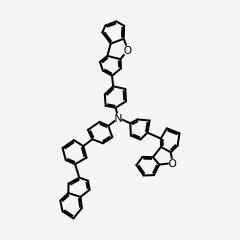 c1cc(-c2ccc(N(c3ccc(-c4ccc5c(c4)oc4ccccc45)cc3)c3ccc(-c4cccc5oc6ccccc6c45)cc3)cc2)cc(-c2ccc3ccccc3c2)c1